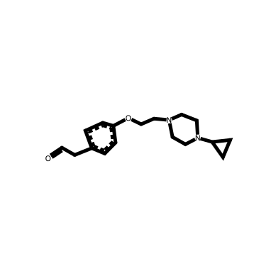 O=CCc1ccc(OCCN2CCN(C3CC3)CC2)cc1